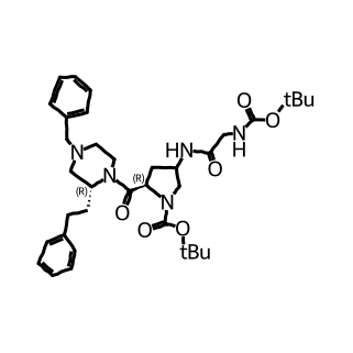 CC(C)(C)OC(=O)NCC(=O)NC1C[C@H](C(=O)N2CCN(Cc3ccccc3)C[C@H]2CCc2ccccc2)N(C(=O)OC(C)(C)C)C1